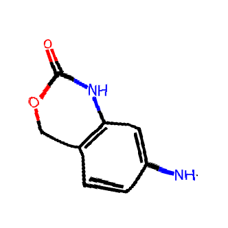 [NH]c1ccc2c(c1)NC(=O)OC2